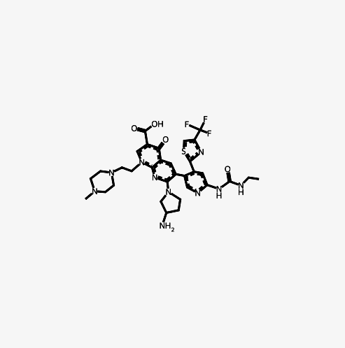 CCNC(=O)Nc1cc(-c2nc(C(F)(F)F)cs2)c(-c2cc3c(=O)c(C(=O)O)cn(CCN4CCN(C)CC4)c3nc2N2CCC(N)C2)cn1